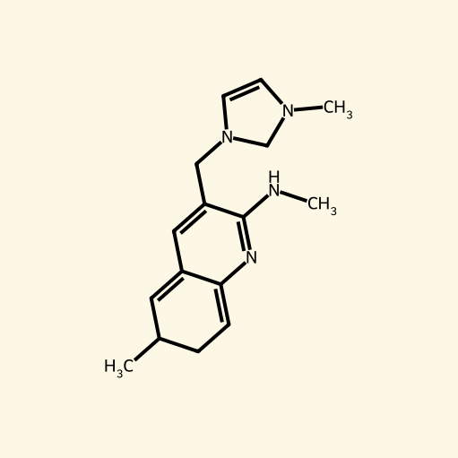 CNc1nc2c(cc1CN1C=CN(C)C1)=CC(C)CC=2